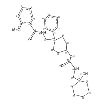 COc1ccccc1C(=O)NCC1(c2ccccc2)CCC(OC(=O)NCC2(O)CCCCC2)CC1